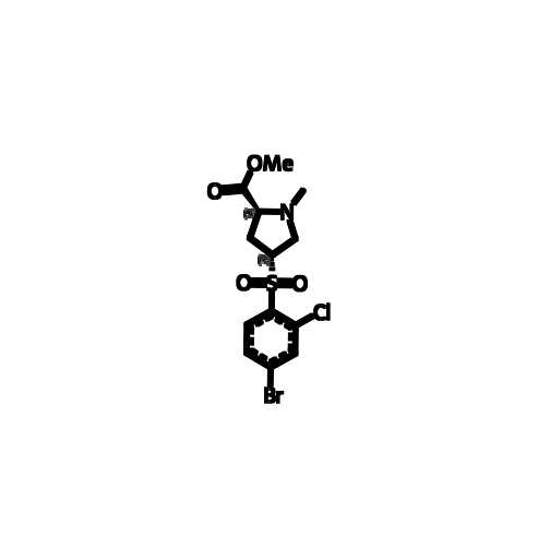 COC(=O)[C@@H]1C[C@@H](S(=O)(=O)c2ccc(Br)cc2Cl)CN1C